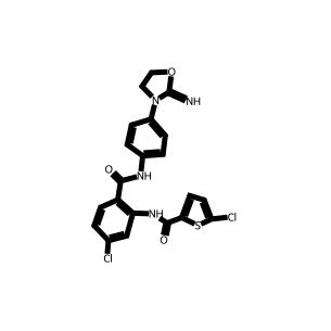 N=C1OCCN1c1ccc(NC(=O)c2ccc(Cl)cc2NC(=O)c2ccc(Cl)s2)cc1